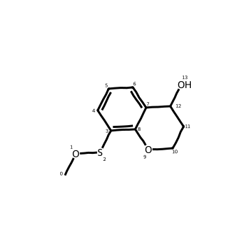 COSc1cccc2c1OCCC2O